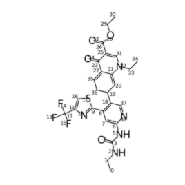 CCNC(=O)Nc1cc(-c2nc(C(F)(F)F)cs2)c(C2C=c3c(c(=O)c(C(=O)OCC)cn3CC)=CC2)cn1